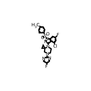 Cc1ccc(S(=O)(=O)n2nc(N3CCN(c4ncc(F)cn4)CC34CC4)c3c(Cl)cc(F)cc32)cc1